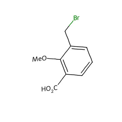 COc1c(CBr)cccc1C(=O)O